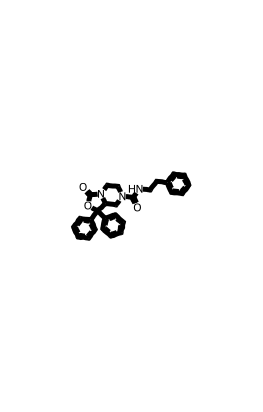 O=C(NCCc1ccccc1)N1CCN2C(=O)OC(c3ccccc3)(c3ccccc3)C2C1